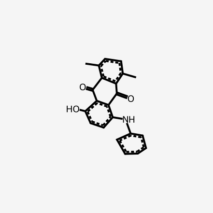 Cc1ccc(C)c2c1C(=O)c1c(O)ccc(Nc3ccccc3)c1C2=O